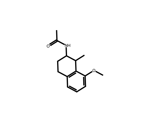 COc1cccc2c1C(C)C(NC(C)=O)CC2